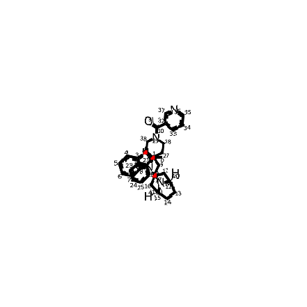 Cc1nc2ccccc2n1[C@H]1C[C@H]2CC[C@@H](C1)N2CCC1(c2ccccc2)CCN(C(=O)c2cccnc2)CC1